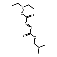 CC[SiH](CC)OC(=O)N=NC(=O)OCC(C)C